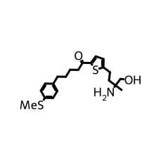 CSc1ccc(CCCCC(=O)c2ccc(CCC(C)(N)CO)s2)cc1